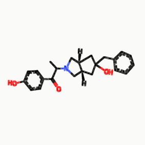 CC(C(=O)c1ccc(O)cc1)N1C[C@@H]2CC(O)(Cc3ccccc3)C[C@@H]2C1